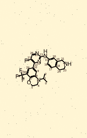 CC(C)N1CCOc2c1cc(-c1nc(Nc3ccc4c(c3)CNCC4)ncc1F)cc2C(F)(F)F